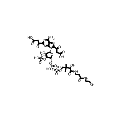 CC(C)(COP(=O)(O)OP(=O)(O)OC[C@H]1O[C@@H](n2c(C(=O)CC(=O)O)nc3c(N)nc(C(=O)CC(=O)O)nc32)[C@H](O)[C@@H]1OP(=O)(O)O)[C@@H](O)C(=O)NCCC(=O)NCCS